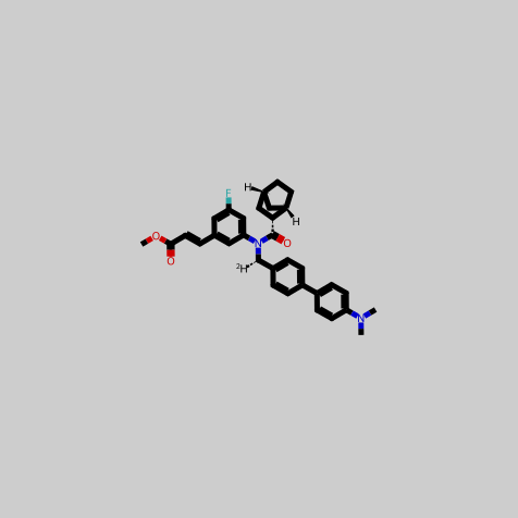 [2H][C@@H](c1ccc(-c2ccc(N(C)C)cc2)cc1)N(C(=O)[C@@H]1C[C@@H]2CC[C@H]1C2)c1cc(F)cc(/C=C/C(=O)OC)c1